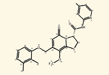 Cc1ccnc(NC(=O)[C@@H]2CSc3c(OC(F)(F)F)c(COc4cccc(C)c4C)cc(=O)n32)c1